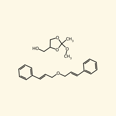 C(=Cc1ccccc1)COCC=Cc1ccccc1.COC1(C)OCC(CO)O1